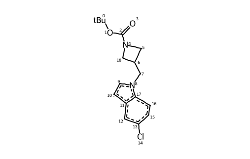 CC(C)(C)OC(=O)N1CC(Cn2c[c]c3cc(Cl)ccc32)C1